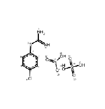 N=C(N)Sc1ccc(Cl)cc1.O=S(=O)(O)O.O=[N+]([O-])O